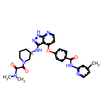 Cc1ccnc(NC(=O)c2ccc(Oc3ccnc4[nH]nc(N[C@@H]5CCCN(C(=O)C(=O)N(C)C)C5)c34)cc2)c1